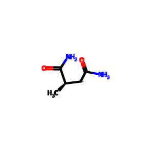 C[C@H]([CH]C(N)=O)C(N)=O